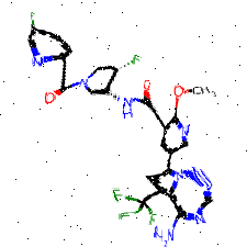 COc1ncc(-c2cc(C(F)(F)F)c3c(N)ncnn23)cc1C(=O)N[C@@H]1CN(C(=O)c2ccc(F)cn2)C[C@@H]1F